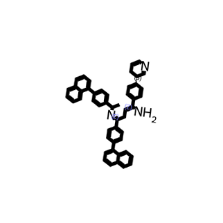 CC(/N=C(\C/C=C(\N)c1ccc([C@H]2C=NC=CC2)cc1)c1ccc(-c2cccc3ccccc23)cc1)c1ccc(-c2cccc3ccccc23)cc1